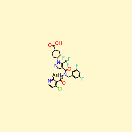 O=C(CN(Cc1cc(F)cc(F)c1)C(=O)c1cnn([C@H]2CC[C@H](C(=O)O)CC2)c1C(F)(F)F)c1c(Cl)ccnc1[AsH2]